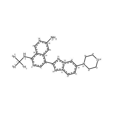 [2H]C([2H])([2H])Nc1ncc(-c2nc3ccc(N4CCOCC4)cn3n2)c2cc(N)ncc12